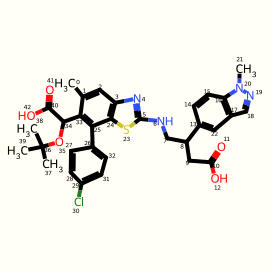 Cc1cc2nc(NCC(CC(=O)O)c3ccc4c(cnn4C)c3)sc2c(-c2ccc(Cl)cc2)c1C(OC(C)(C)C)C(=O)O